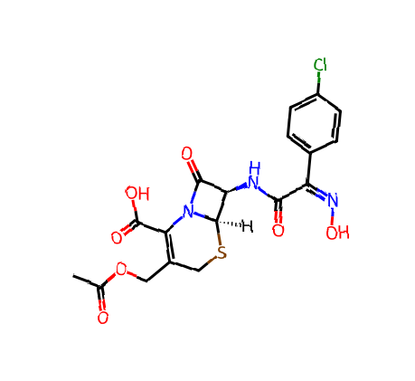 CC(=O)OCC1=C(C(=O)O)N2C(=O)[C@@H](NC(=O)/C(=N\O)c3ccc(Cl)cc3)[C@H]2SC1